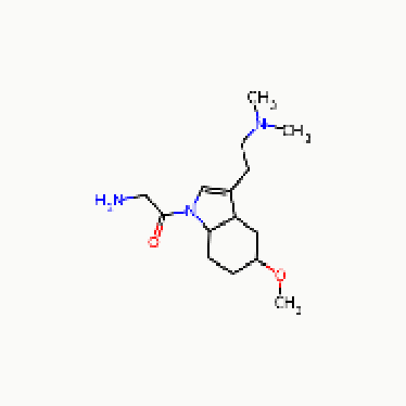 COC1CCC2C(C1)C(CCN(C)C)=CN2C(=O)CN